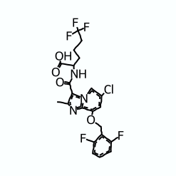 Cc1nc2c(OCc3c(F)cccc3F)cc(Cl)cn2c1C(=O)NC(CCCC(F)(F)F)C(=O)O